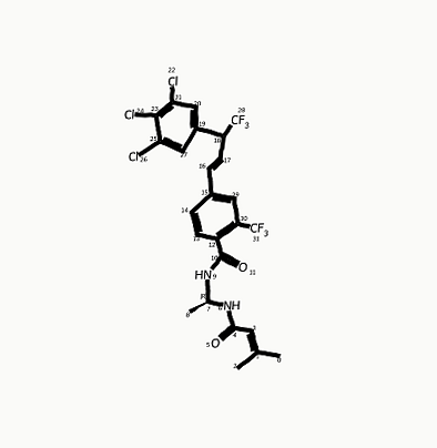 CC(C)=CC(=O)N[C@@H](C)NC(=O)c1ccc(C=CC(c2cc(Cl)c(Cl)c(Cl)c2)C(F)(F)F)cc1C(F)(F)F